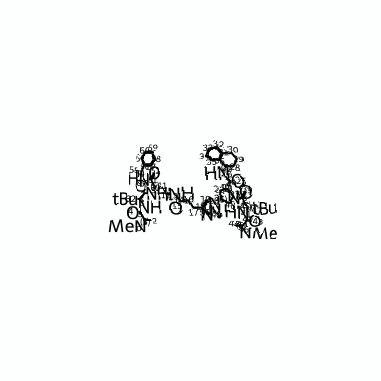 CN[C@@H](C)C(=O)NC(C(=O)N[C@@H](CCNC(=O)CCc1cn([C@H]2C[C@@H](C(=O)N[C@@H]3CCCc4ccccc43)N(C(=O)[C@@H](NC(=O)[C@H](C)NC)C(C)(C)C)C2)nn1)C(=O)N[C@H](C)c1ccccc1)C(C)(C)C